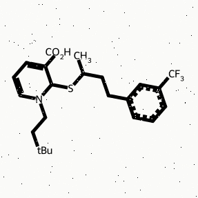 CC(CCc1cccc(C(F)(F)F)c1)SC1C(C(=O)O)=CC=CN1CCC(C)(C)C